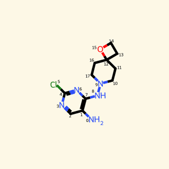 Nc1cnc(Cl)nc1NN1CCC2(CCO2)CC1